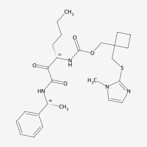 CCCC[C@H](NC(=O)OCC1(CSc2nccn2C)CCC1)C(=O)C(=O)N[C@H](C)c1ccccc1